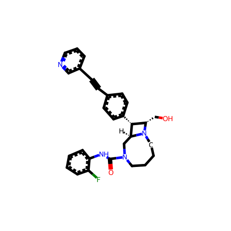 O=C(Nc1ccccc1F)N1CCCCN2[C@@H](CO)[C@@H](c3ccc(C#Cc4cccnc4)cc3)[C@@H]2C1